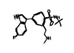 CNCCc1cc(-c2c[nH]c3cc(F)ccc23)ccc1S(=O)(=O)NC(C)(C)C